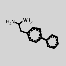 NC(N)Cc1ccc(-c2ccccc2)cc1